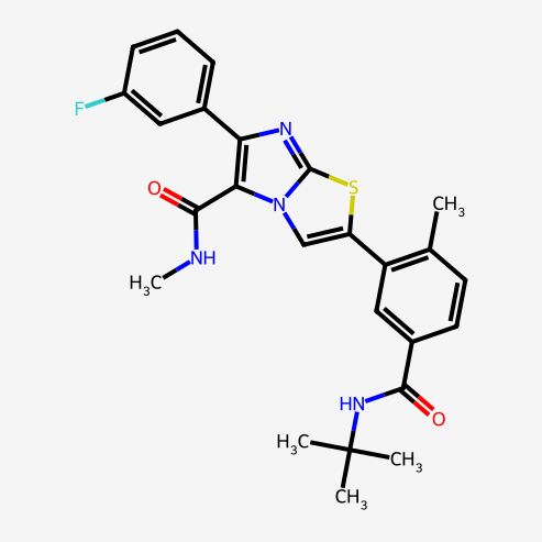 CNC(=O)c1c(-c2cccc(F)c2)nc2sc(-c3cc(C(=O)NC(C)(C)C)ccc3C)cn12